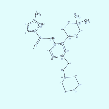 Cc1cnc(C(=O)Nc2ccc(CCN3CCOCC3)cc2C2=CCC(C)(C)CC2)[nH]1